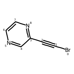 BrC#Cc1cnccn1